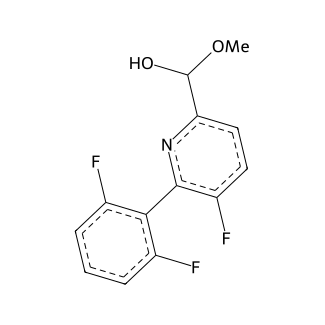 COC(O)c1ccc(F)c(-c2c(F)cccc2F)n1